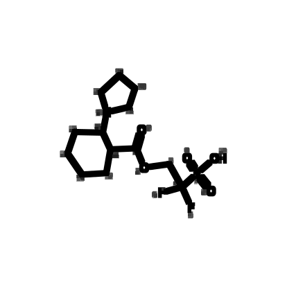 O=C(OCC(F)(F)S(=O)(=O)O)C1CCCCC1N1CCCC1